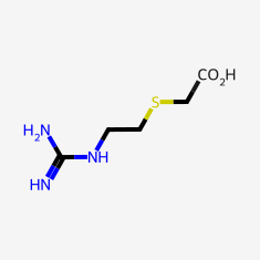 N=C(N)NCCSCC(=O)O